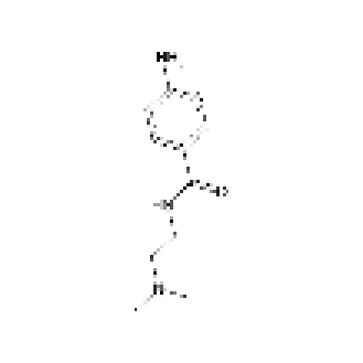 CN(C)CCNC(=O)c1ccc(N)nc1